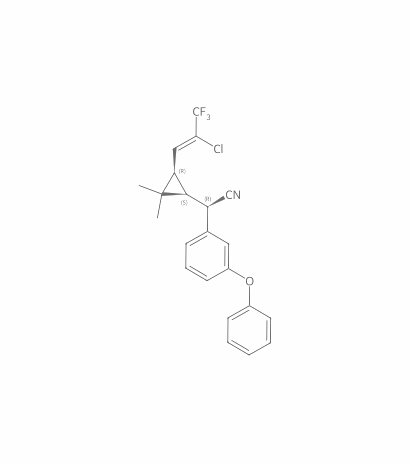 CC1(C)[C@H]([C@@H](C#N)c2cccc(Oc3ccccc3)c2)[C@@H]1C=C(Cl)C(F)(F)F